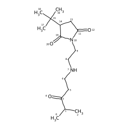 CC(C)C(=O)CCNCCN1C(=O)CC(C(C)(C)C)C1=O